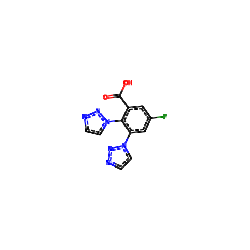 O=C(O)c1cc(F)cc(-n2ccnn2)c1-n1ccnn1